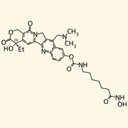 CC[C@@]1(O)C(=O)OCc2c1cc1n(c2=O)Cc2c-1nc1ccc(OC(=O)NCCCCCCC(=O)NO)cc1c2CN(C)C